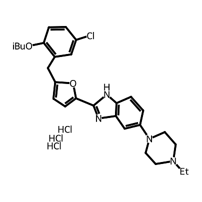 CCN1CCN(c2ccc3[nH]c(-c4ccc(Cc5cc(Cl)ccc5OCC(C)C)o4)nc3c2)CC1.Cl.Cl.Cl